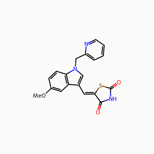 COc1ccc2c(c1)c(/C=C1\SC(=O)NC1=O)cn2Cc1ccccn1